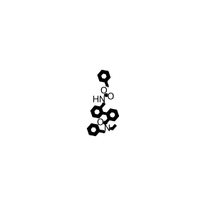 CCN(Cc1ccccc1)C(=O)c1ccccc1-c1ccccc1CNC(=O)OCc1ccccc1